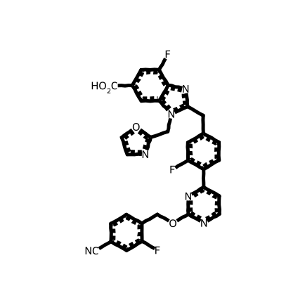 N#Cc1ccc(COc2nccc(-c3ccc(Cc4nc5c(F)cc(C(=O)O)cc5n4Cc4ncco4)cc3F)n2)c(F)c1